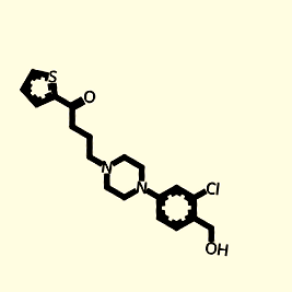 O=C(CCCN1CCN(c2ccc(CO)c(Cl)c2)CC1)c1cccs1